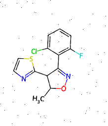 CC1ON=C(c2c(F)cccc2Cl)C1c1nccs1